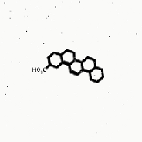 O=C(O)C1CCC2CCC3C(=C2C1)C=CC1C2CCCCC2CCC31